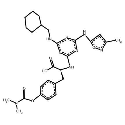 Cc1cc(Nc2nc(NCC3CCCCC3)nc(N[C@@H](Cc3ccc(OC(=O)N(C)C)cc3)C(=O)O)n2)on1